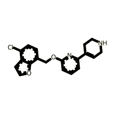 Clc1ccc(COc2cccc(C3=CCNCC3)n2)c2occc12